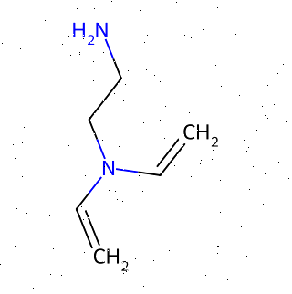 C=CN(C=C)CCN